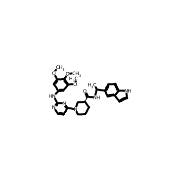 COc1cc(Nc2nccc(N3CCC[C@H](C(=O)NC(C)c4ccc5[nH]ccc5c4)C3)n2)cc(OC)c1OC